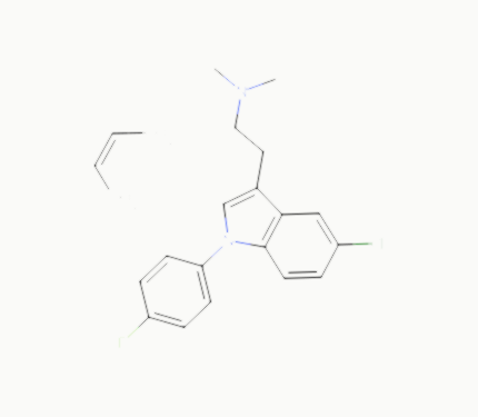 CN(C)CCc1cn(-c2ccc(F)cc2)c2ccc(Cl)cc12.O=C(O)/C=C\C(=O)O